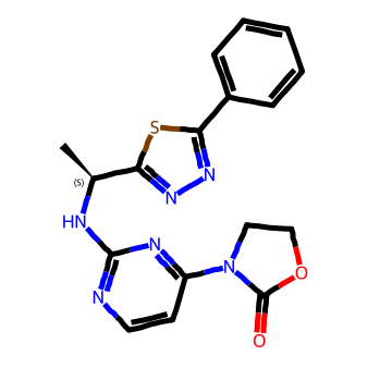 C[C@H](Nc1nccc(N2CCOC2=O)n1)c1nnc(-c2ccccc2)s1